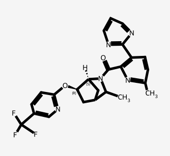 Cc1ccc(-c2ncccn2)c(C(=O)N2C(C)C3C[C@@H](Oc4ccc(C(F)(F)F)cn4)[C@@H]2C3)n1